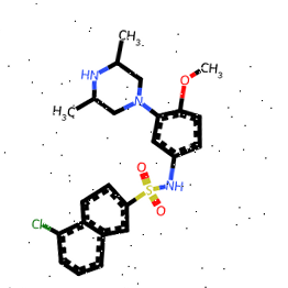 COc1ccc(NS(=O)(=O)c2ccc3c(Cl)cccc3c2)cc1N1CC(C)NC(C)C1